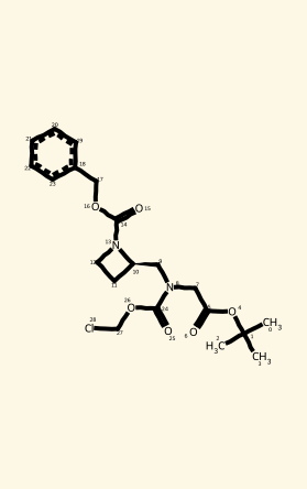 CC(C)(C)OC(=O)CN(C[C@H]1CCN1C(=O)OCc1ccccc1)C(=O)OCCl